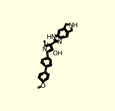 COc1ccc(-c2ccc(-c3nn(C)c(-c4nc5cc6c(cc5[nH]4)CNC6)c3O)cc2)cc1